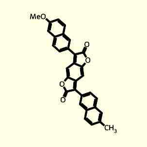 COc1ccc2cc(C3=c4cc5c(cc4OC3=O)=C(c3ccc4cc(C)ccc4c3)C(=O)O5)ccc2c1